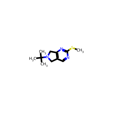 CSc1ncc2c(n1)CN(C(C)(C)C)C2